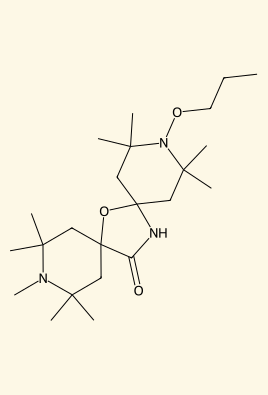 CCCON1C(C)(C)CC2(CC1(C)C)NC(=O)C1(CC(C)(C)N(C)C(C)(C)C1)O2